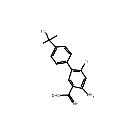 CC(C)(O)c1ccc(-c2cc(C(=N)C=O)c(N)cc2Cl)cc1